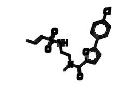 CC=CS(=O)(=O)NCCN(C)C(=O)c1ccc(-c2ccc(Cl)cc2)o1